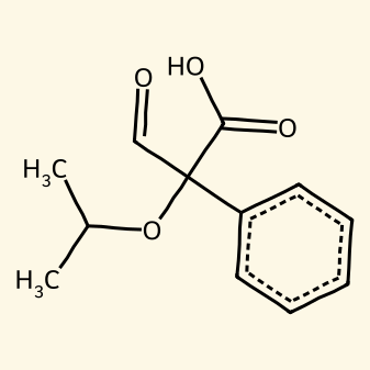 CC(C)OC(C=O)(C(=O)O)c1ccccc1